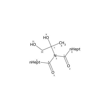 CCCCCCCC(=O)N(C(=O)CCCCCCC)C(C)(O)CO